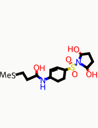 CSCCC(O)NC1C=CC(S(=O)(=O)N2C(O)CCC2O)CC1